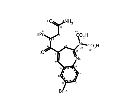 CCCN(CC(N)=O)C(=O)C1=Cc2cc(Br)ccc2N=C(N(C(=O)O)C(=O)O)C1